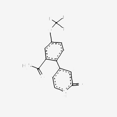 NC(=O)c1cc(OC(F)(F)F)ccc1-c1cc[nH]c(=O)c1